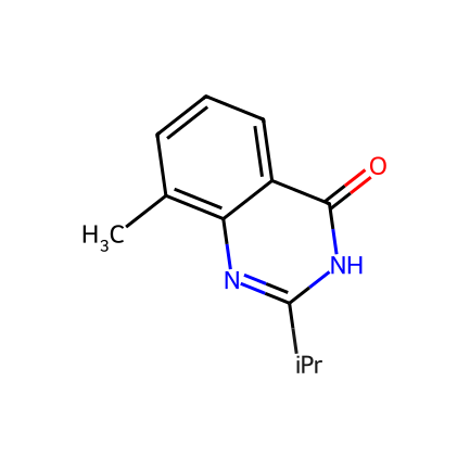 Cc1cccc2c(=O)[nH]c(C(C)C)nc12